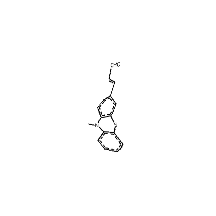 CN1c2ccccc2Sc2cc(/C=C/C=O)ccc21